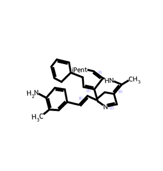 CCCC(C)/C=C1/N/C(C)=C(CC/C=C/c2ccc(N)c(C)c2)/C=N\C/C1=C/CC1C=CC=CC1